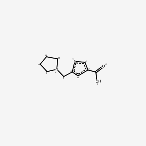 O=C(O)c1csc(CN2CCCC2)c1